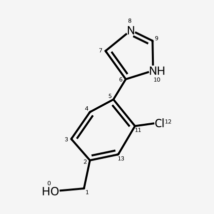 OCc1ccc(-c2cnc[nH]2)c(Cl)c1